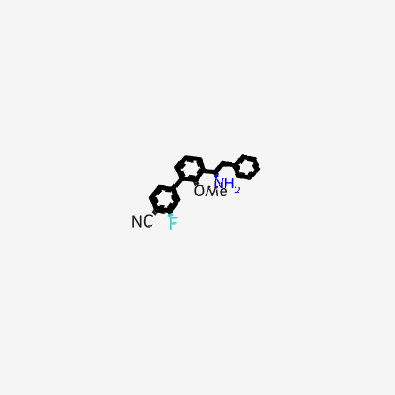 COc1c(-c2ccc(C#N)c(F)c2)cccc1C(N)Cc1ccccc1